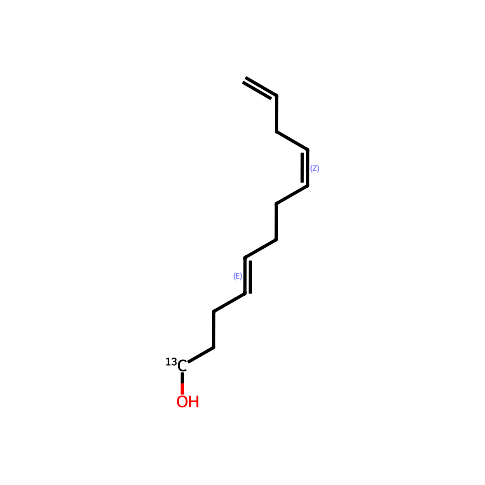 C=CC/C=C\CC/C=C/CC[13CH2]O